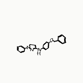 c1ccc(COc2ccc(NC3=NN(c4ccccc4)CC3)cc2)cc1